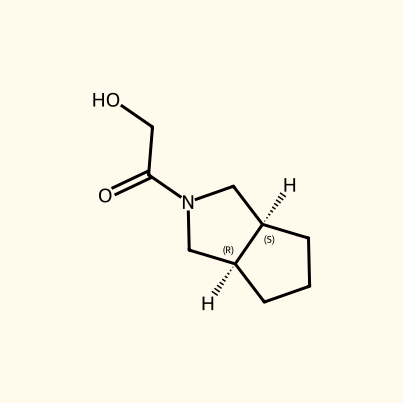 O=C(CO)N1C[C@H]2CCC[C@H]2C1